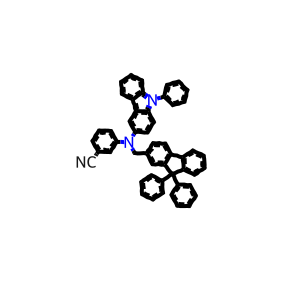 N#Cc1cccc(N(Cc2ccc3c(c2)C(c2ccccc2)(c2ccccc2)c2ccccc2-3)c2ccc3c(c2)c2ccccc2n3-c2ccccc2)c1